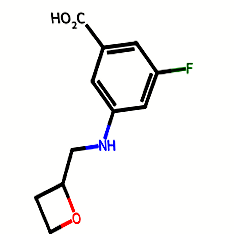 O=C(O)c1cc(F)cc(NCC2CCO2)c1